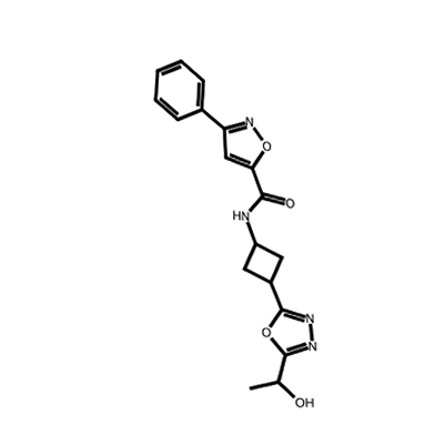 CC(O)c1nnc(C2CC(NC(=O)c3cc(-c4ccccc4)no3)C2)o1